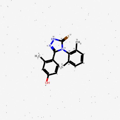 Cc1cc(O)ccc1-c1n[nH]c(=S)n1-c1c(C)cccc1C